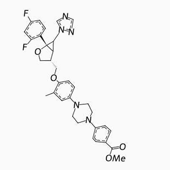 COC(=O)c1ccc(N2CCN(c3ccc(OC[C@@H]4CO[C@@]5(c6ccc(F)cc6F)C4C5n4cncn4)c(C)c3)CC2)cc1